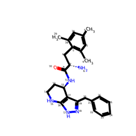 Cc1cc(C)c(C[C@H](N)C(=O)N[C@@H]2CCNc3[nH]nc(Cc4ccccc4)c32)c(C)c1